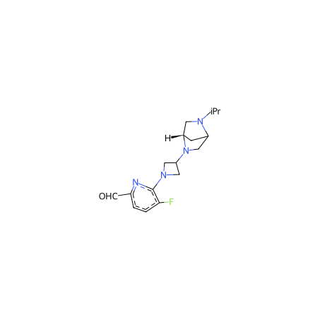 CC(C)N1C[C@@H]2CC1CN2C1CN(c2nc(C=O)ccc2F)C1